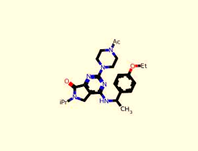 CCOc1ccc(C(C)Nc2nc(N3CCN(C(C)=O)CC3)nc3c2CN(C(C)C)C3=O)cc1